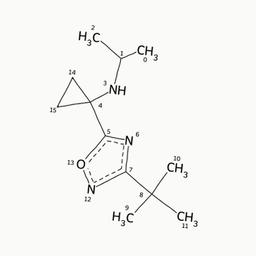 CC(C)NC1(c2nc(C(C)(C)C)no2)CC1